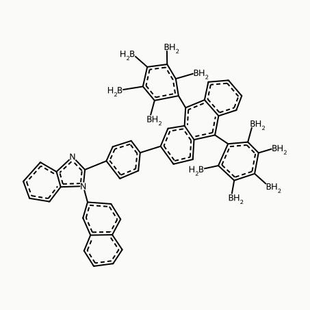 Bc1c(B)c(B)c(-c2c3ccccc3c(-c3c(B)c(B)c(B)c(B)c3B)c3cc(-c4ccc(-c5nc6ccccc6n5-c5ccc6ccccc6c5)cc4)ccc23)c(B)c1B